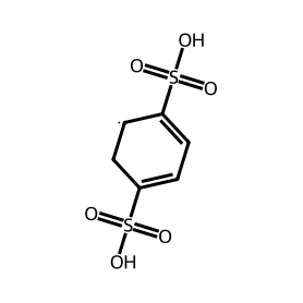 O=S(=O)(O)C1=CC=C(S(=O)(=O)O)C[CH]1